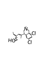 C/C=C(\C=C(/C)C1CN(C)Cc2c(Cl)cc(Cl)cc21)SO